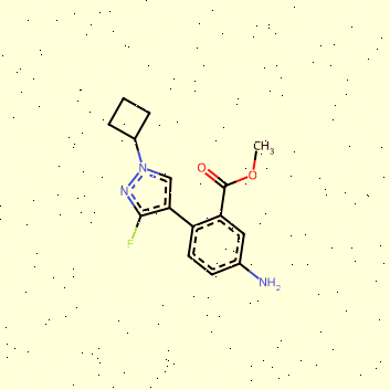 COC(=O)c1cc(N)ccc1-c1cn(C2CCC2)nc1F